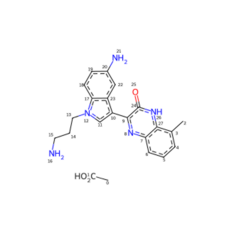 CC(=O)O.Cc1cccc2nc(-c3cn(CCCN)c4ccc(N)cc34)c(=O)[nH]c12